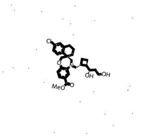 COC(=O)c1ccc2c(c1)N(C[C@@H]1CC[C@H]1[C@@H](O)CCO)C[C@@]1(CCCc3cc(Cl)ccc31)CO2